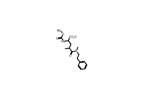 CC(CC(NC(=O)OC(C)(C)C)C(=O)O)C(=O)N(C)CCc1ccccc1